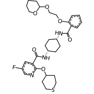 O=C(N[C@H]1CC[C@@H](NC(=O)c2cc(F)cnc2OC2CCSCC2)CC1)c1ccccc1OCCOC1CCCCO1